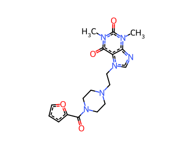 Cn1c(=O)c2c(ncn2CCN2CCN(C(=O)c3ccco3)CC2)n(C)c1=O